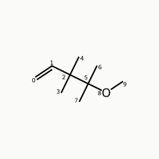 C=CC(C)(C)C(C)(C)OC